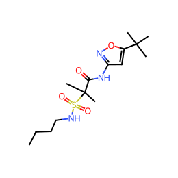 CCCCNS(=O)(=O)C(C)(C)C(=O)Nc1cc(C(C)(C)C)on1